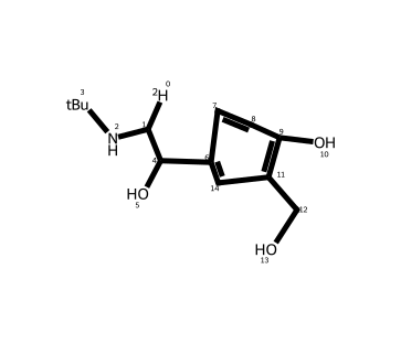 [2H]C(NC(C)(C)C)C(O)c1ccc(O)c(CO)c1